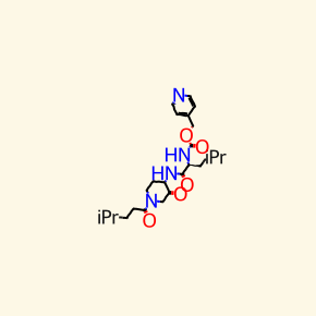 CC(C)CCC(=O)N1CCC(NC(=O)[C@H](CC(C)C)NC(=O)OCc2ccncc2)C(=O)C1